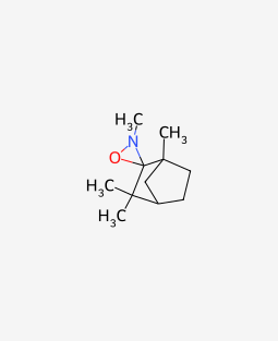 CN1OC12C1(C)CCC(C1)C2(C)C